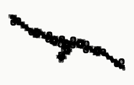 C=CC(=O)OCCCCCCOc1ccc(CCC(=O)O[C@H]2CC[C@H](C(=O)Oc3ccc(OC(=O)[C@H]4CC[C@H](OC(=O)CCc5ccc(OCCCCCCOC(=O)C=C)cc5)CC4)c4nc(-c5cccs5)ccc34)CC2)cc1